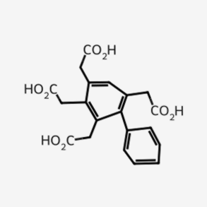 O=C(O)Cc1cc(CC(=O)O)c(-c2ccccc2)c(CC(=O)O)c1CC(=O)O